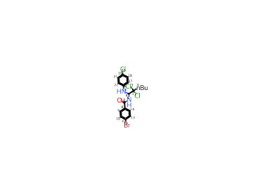 CCCCC(Cl)(Cl)C(NC(=O)c1ccc(Br)cc1)Nc1ccc(Cl)cc1